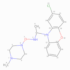 CC(NON1CCN(C)CC1)N1c2ccccc2Oc2ccc(Cl)cc21